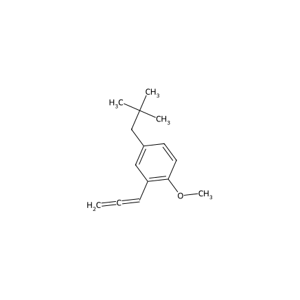 C=C=Cc1cc(CC(C)(C)C)ccc1OC